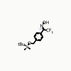 CC(C)(C)[Si](C)(C)OCc1ccc(/C(=N/O)C(F)(F)F)cc1